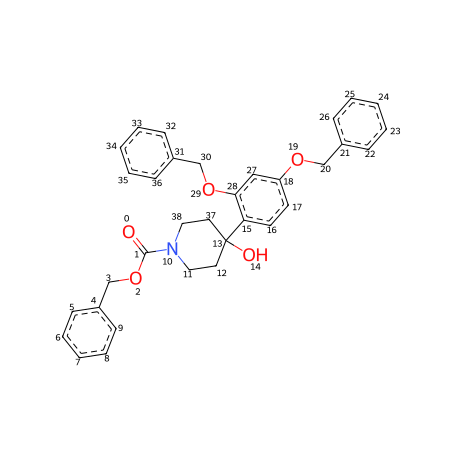 O=C(OCc1ccccc1)N1CCC(O)(c2ccc(OCc3ccccc3)cc2OCc2ccccc2)CC1